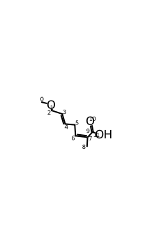 COCC=CCC=C(C)C(=O)O